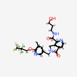 Cc1cc(CN2Cc3c(ccnc3C(=O)NCCCO)C2=O)cnc1OCC(F)(F)C(F)F